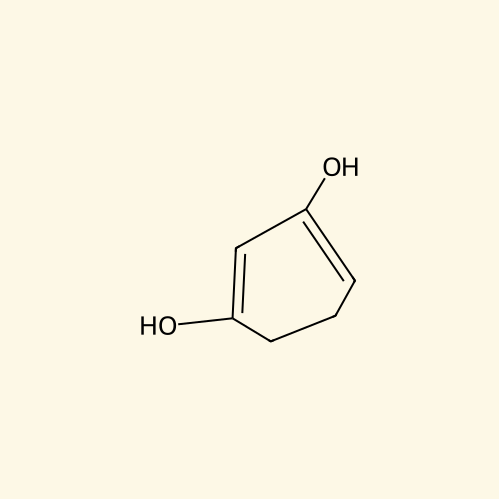 OC1=CCCC(O)=C1